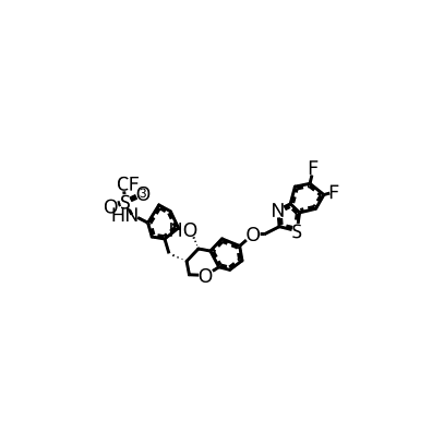 O=S(=O)(Nc1cccc(C[C@H]2COc3ccc(OCc4nc5cc(F)c(F)cc5s4)cc3[C@H]2O)c1)C(F)(F)F